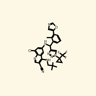 Cc1c(-c2cnco2)cccc1C(Nc1cc(Cl)c2ncc(C#N)c(NCC(C)(C)C)c2c1)c1cn(C2(C(F)(F)F)CC2)nn1